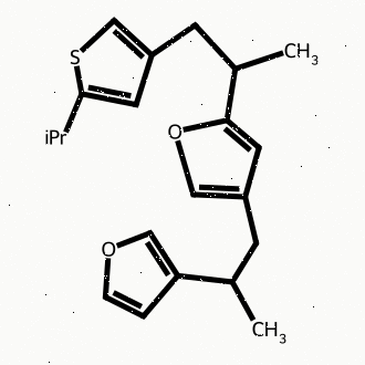 CC(C)c1cc(CC(C)c2cc(CC(C)c3ccoc3)co2)cs1